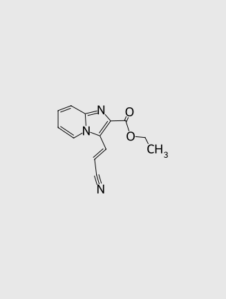 CCOC(=O)c1nc2ccccn2c1C=CC#N